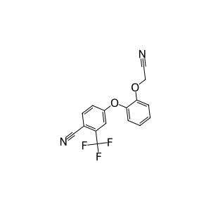 N#CCOc1ccccc1Oc1ccc(C#N)c(C(F)(F)F)c1